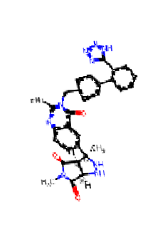 CCCCc1nc2ccc([C@@]3(C)NN[C@H]4C(=O)N(C)C(=O)[C@H]43)cc2c(=O)n1Cc1ccc(-c2ccccc2-c2nnn[nH]2)cc1